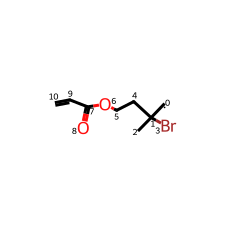 [CH2]C(C)(Br)CCOC(=O)C=C